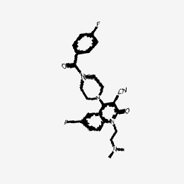 CN(C)CCn1c(=O)c(C#N)c(N2CCN(C(=O)c3ccc(F)cc3)CC2)c2cc(I)ccc21